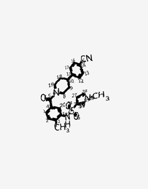 Cc1ccc(C(=O)N2CCC(c3ccc(C#N)cc3)CC2)cc1NS(=O)(=O)c1ccn(C)n1